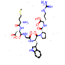 CSCC[C@H](N)C(=O)N[C@@H](CC(=O)O)C(=O)NCC(=O)N[C@@H](Cc1c[nH]c2ccccc12)C(=O)N1CCC[C@H]1C(=O)N[C@@H](CCCNC(=N)N)C(=O)O